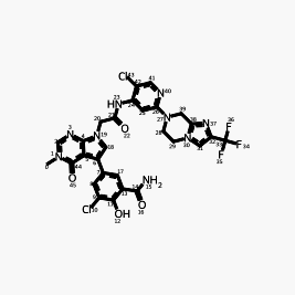 Cn1cnc2c(c(-c3cc(Cl)c(O)c(C(N)=O)c3)cn2CC(=O)Nc2cc(N3CCn4cc(C(F)(F)F)nc4C3)ncc2Cl)c1=O